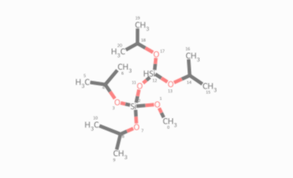 CO[Si](OC(C)C)(OC(C)C)O[SiH](OC(C)C)OC(C)C